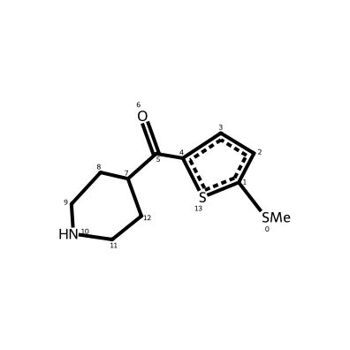 CSc1ccc(C(=O)C2CCNCC2)s1